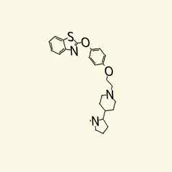 c1ccc2sc(Oc3ccc(OCCN4CCC(C5CCC[N]5)CC4)cc3)nc2c1